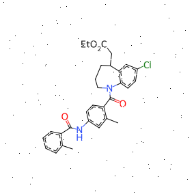 CCOC(=O)CC1CCCN(C(=O)c2ccc(NC(=O)c3ccccc3C)cc2C)c2ccc(Cl)cc21